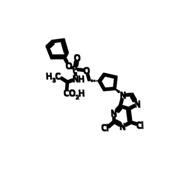 CC(NP(=O)(OC[C@@H]1CC[C@H](n2cnc3c(Cl)nc(Cl)nc32)C1)Oc1ccccc1)C(=O)O